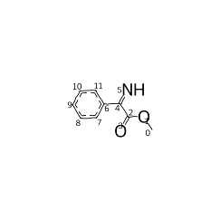 COC(=O)C(=N)c1ccccc1